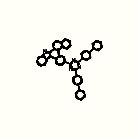 c1ccc(-c2ccc(-c3nc(-c4ccc(-c5ccccc5)cc4)nc(-c4ccc5c(c4)c4c6ccccc6ccc4c4nc6ccccn6c54)n3)cc2)cc1